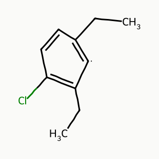 CCc1[c]c(CC)c(Cl)cc1